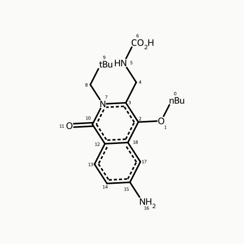 CCCCOc1c(CNC(=O)O)n(CC(C)(C)C)c(=O)c2ccc(N)cc12